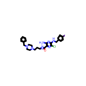 Nc1nc(NCc2ccc(I)cc2)c(Cl)nc1C(=O)NCCCN1CCN(Cc2ccccc2)CC1